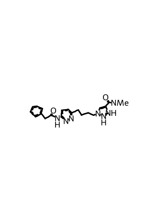 CNC(=O)C1=CN(CCCCc2ccc(NC(=O)Cc3ccccc3)nn2)NN1